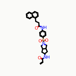 C=CC(=O)NC1CC2CN(S(=O)(=O)c3ccc(NC(=O)CCc4cccc5ccccc45)cc3)CC2C1